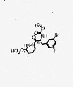 CC(C)(C)OC(=O)N[C@@H](Cc1cc(F)cc(Br)c1)C(=O)N1CCC[C@@H](C(=O)O)N1